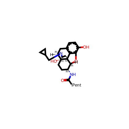 CCCC(C)C(=O)N[C@@H]1CC[C@@]2(O)[C@H]3Cc4ccc(O)c5c4[C@@]2(CCN3CC2CC2)[C@H]1O5